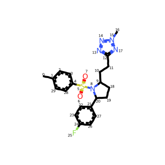 Cc1ccc(S(=O)(=O)N2C(CCc3nnn(C)n3)CCC2c2ccc(F)cc2)cc1